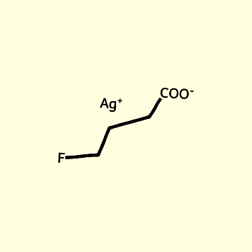 O=C([O-])CCCF.[Ag+]